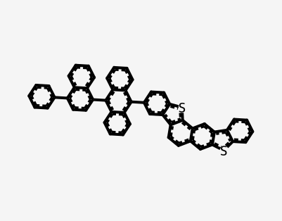 c1ccc(-c2ccc(-c3c4ccccc4c(-c4ccc5sc6c7cc8c(cc7ccc6c5c4)sc4ccccc48)c4ccccc34)c3ccccc23)cc1